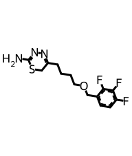 NC1=NN=C(CCCCOCc2ccc(F)c(F)c2F)CS1